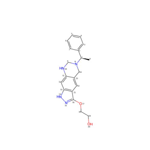 C[C@H](c1ccccc1)N1CNc2cc3[nH]nc(OCCO)c3cc2C1